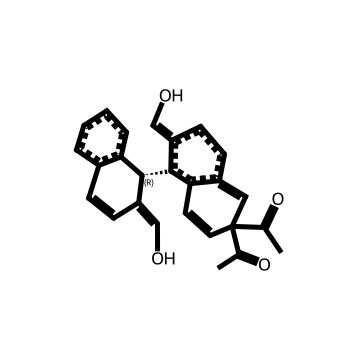 CC(=O)C1(C(C)=O)C=Cc2c([C@@H]3C(=CO)C=Cc4ccccc43)c(=CO)ccc2=C1